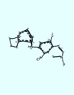 CCN(C)/C=N\c1cc(Cl)c(Nc2cccc3c2CCC3)cc1Cl